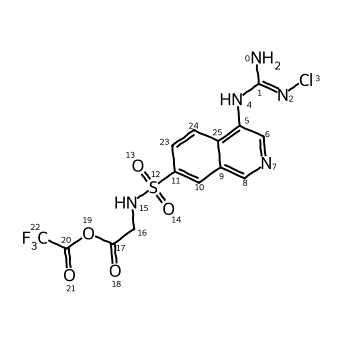 NC(=NCl)Nc1cncc2cc(S(=O)(=O)NCC(=O)OC(=O)C(F)(F)F)ccc12